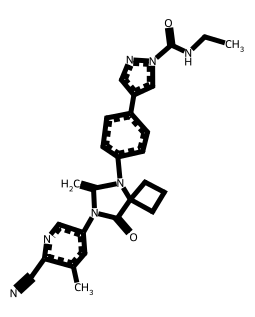 C=C1N(c2cnc(C#N)c(C)c2)C(=O)C2(CCC2)N1c1ccc(-c2cnn(C(=O)NCC)c2)cc1